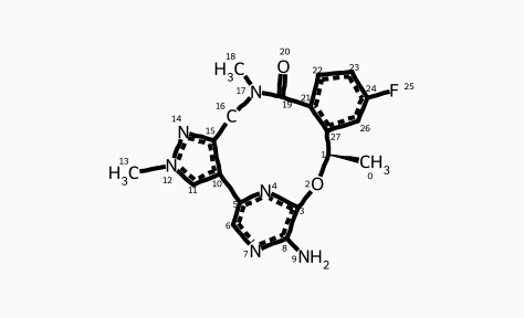 C[C@H]1Oc2nc(cnc2N)-c2cn(C)nc2CN(C)C(=O)c2ccc(F)cc21